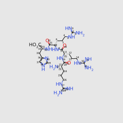 N=C(N)NCCC[C@H](NC(=O)[C@H](CCCNC(=N)N)NC(=O)[C@@H](N)CCCNC(=N)N)C(=O)N[C@@H](Cc1c[nH]cn1)C(=O)O